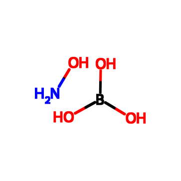 NO.OB(O)O